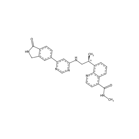 CNC(=O)c1ccnc2c([C@H](C)CNc3cc(-c4ccc5c(c4)CNC5=O)ncn3)cccc12